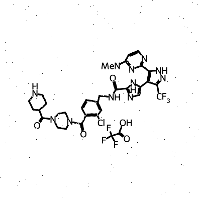 CNc1ccnc(-c2[nH]nc(C(F)(F)F)c2-c2cnc(C(=O)NCc3ccc(C(=O)N4CCN(C(=O)C5CCNCC5)CC4)c(Cl)c3)[nH]2)n1.O=C(O)C(F)(F)F